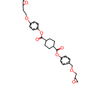 O=C(Oc1ccc(COCC2CO2)cc1)C1CCC(C(=O)Oc2ccc(OCCC3CO3)cc2)CC1